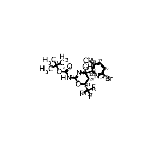 CC(C)(C)OC(=O)NC1=N[C@](C)(c2nc(Br)ccc2Cl)C[C@@H](C(F)(F)F)O1